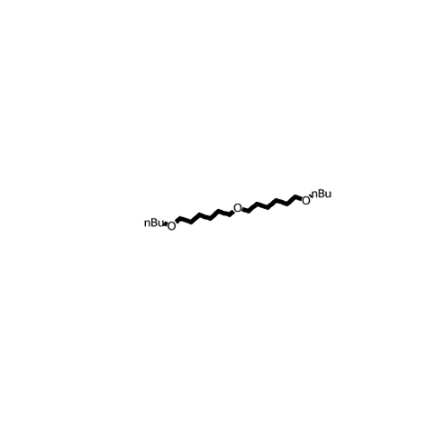 CCCCOCCCCCCOCCCCCCOCCCC